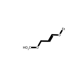 CCOC=CCOC(=O)O